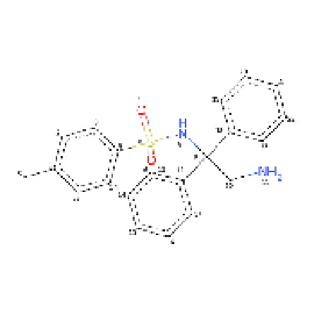 Cc1ccc(S(=O)(=O)NC(CN)(c2ccccc2)c2ccccc2)cc1